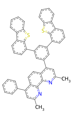 Cc1cc(-c2ccccc2)c2ccc3c(-c4cc(-c5cccc6c5sc5ccccc56)cc(-c5cccc6c5sc5ccccc56)c4)cc(C)nc3c2n1